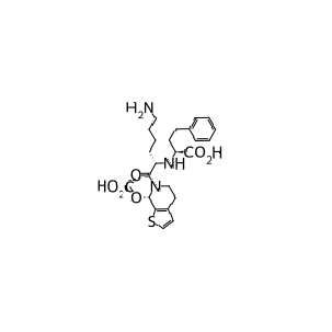 NCCCC[C@H](N[C@@H](CCc1ccccc1)C(=O)O)C(=O)N1CCc2ccsc2[C@@H]1OC(=O)O